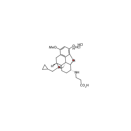 COc1cc(O)c2c3c1C[C@@H]1[C@@H]4CC[C@@H](NCCC(=O)O)[C@H](O2)[C@]34CCN1CC1CC1.Cl.Cl